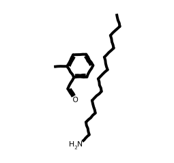 CCCCCCCCCCCCN.Cc1ccccc1C=O